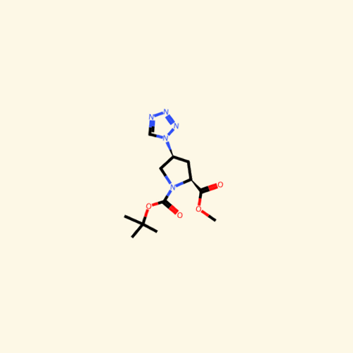 COC(=O)[C@@H]1C[C@H](n2cnnn2)CN1C(=O)OC(C)(C)C